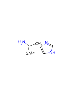 CSC(C)N.c1c[nH]cn1